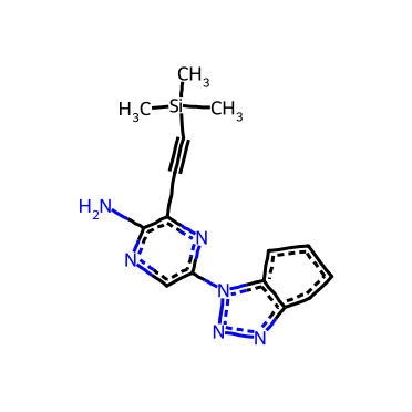 C[Si](C)(C)C#Cc1nc(-n2nnc3ccccc32)cnc1N